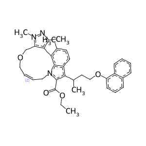 CCOC(=O)c1c(C(C)CCOc2cccc3ccccc23)c2ccc(C)c3c2n1C/C=C\COCc1c-3c(C)nn1C